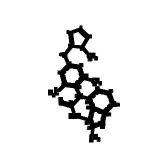 Cc1cc(OC2=CC=CC2C)cc(C)c1N1C(=O)Nc2c(C)sc3nccc1c23